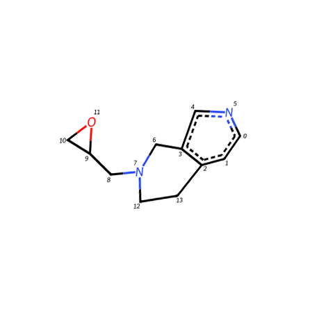 c1cc2c(cn1)CN(CC1CO1)CC2